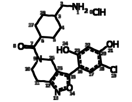 Cl.NCC1CCC(C(=O)N2CCc3noc(-c4cc(Cl)c(O)cc4O)c3C2)CC1